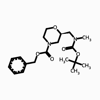 CN(C[C@H]1CN(C(=O)OCc2ccccc2)CCO1)C(=O)OC(C)(C)C